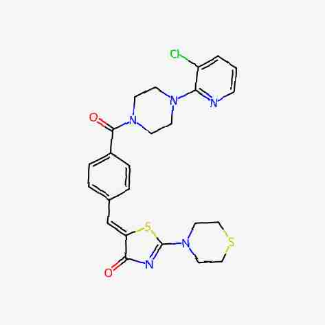 O=C1N=C(N2CCSCC2)SC1=Cc1ccc(C(=O)N2CCN(c3ncccc3Cl)CC2)cc1